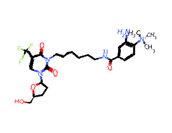 C[N+](C)(C)c1ccc(C(=O)NCCCCCCn2c(=O)c(C(F)(F)F)cn(C3CC[C@@H](CO)O3)c2=O)cc1N